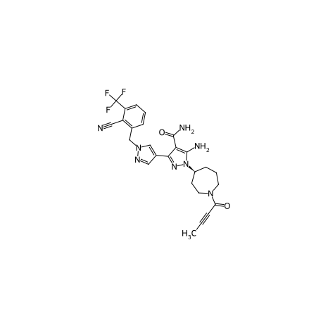 CC#CC(=O)N1CCC[C@H](n2nc(-c3cnn(Cc4cccc(C(F)(F)F)c4C#N)c3)c(C(N)=O)c2N)CC1